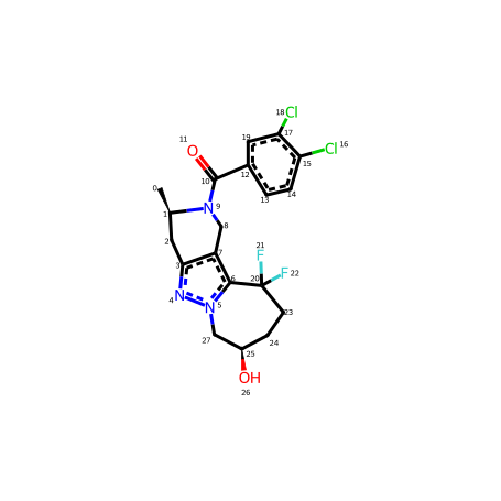 C[C@@H]1Cc2nn3c(c2CN1C(=O)c1ccc(Cl)c(Cl)c1)C(F)(F)CC[C@@H](O)C3